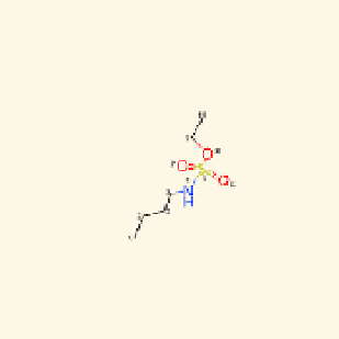 CCCCNS(=O)(=O)OCC